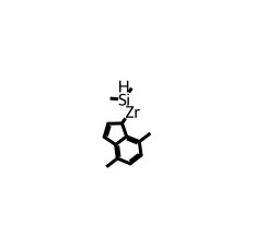 Cc1ccc(C)c2c1C=C[CH]2[Zr][SiH](C)C